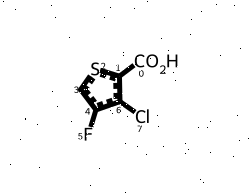 O=C(O)c1scc(F)c1Cl